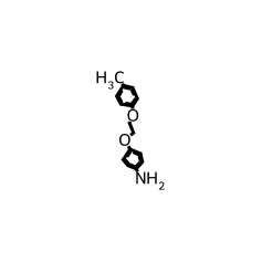 Cc1ccc(OCCOc2ccc(N)cc2)cc1